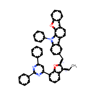 C/C=c1\c(=C\c2ccc3c(c2)c2ccc4c5ccccc5oc4c2n3-c2ccccc2)oc2c(-c3cc(-c4ccccc4)nc(-c4ccccc4)n3)cccc12